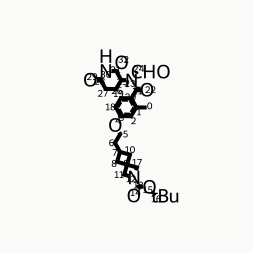 Cc1cc(OCCC2CC3(C2)CN(C(=O)OC(C)(C)C)C3)ccc1C(=O)N(C=O)C1CCC(=O)NC1=O